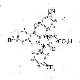 CC1=C(C(=O)c2ccc(Br)cc2)C(c2ccc(C#N)cc2)N(CC(=O)O)C(=O)N1c1cccc(C(F)(F)F)c1